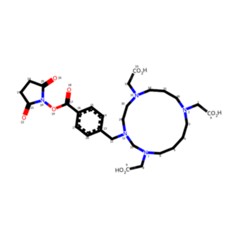 O=C(O)CN1CCCCN(CC(=O)O)CN(Cc2ccc(C(=O)ON3C(=O)CCC3=O)cc2)CCN(CC(=O)O)CCC1